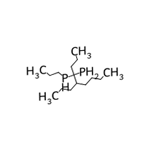 CCCCC(CCC)C(P)(CCC)PCCC